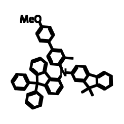 COc1ccc(-c2ccc(N(c3ccc4c(c3)C(C)(C)c3ccccc3-4)c3cccc4c3-c3ccccc3C4(c3ccccc3)c3ccccc3)c(C)c2)cc1